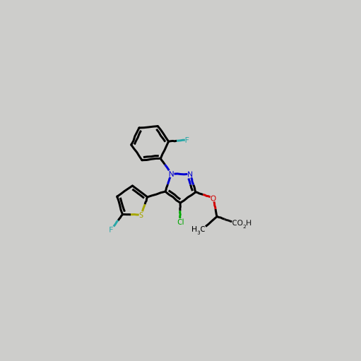 CC(Oc1nn(-c2ccccc2F)c(-c2ccc(F)s2)c1Cl)C(=O)O